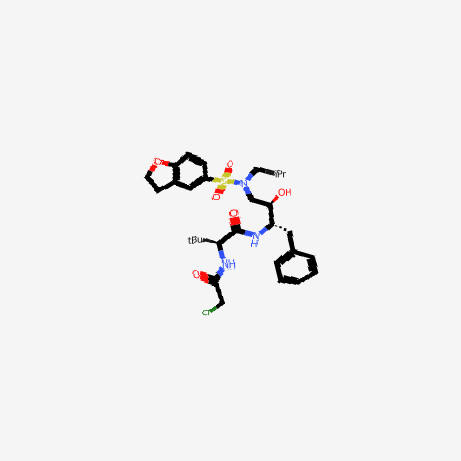 CC(C)CN(C[C@@H](O)[C@H](Cc1ccccc1)NC(=O)[C@@H](NC(=O)CCl)C(C)(C)C)S(=O)(=O)c1ccc2c(c1)CCO2